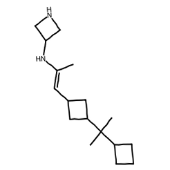 C/C(=C\C1CC(C(C)(C)C2CCC2)C1)NC1CNC1